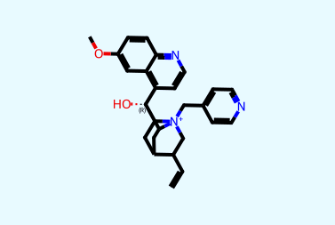 C=CC1C[N+]2(Cc3ccncc3)CCC1CC2[C@H](O)c1ccnc2ccc(OC)cc12